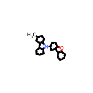 Cc1ccc2c(c1)c1ccccc1n2-c1ccc2oc3ccccc3c2c1